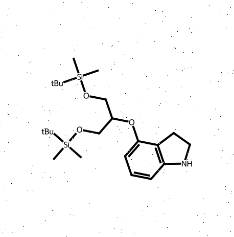 CC(C)(C)[Si](C)(C)OCC(CO[Si](C)(C)C(C)(C)C)Oc1cccc2c1CCN2